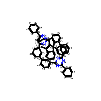 C=C/C=C\C1=C(C)c2ccccc2C12c1ccccc1-c1cccc(-c3nc(-c4ccccc4)cc(-c4cccc(-c5cccc(-c6nc(-c7ccccc7)nc(-c7ccccc7)n6)c5)c4)n3)c12